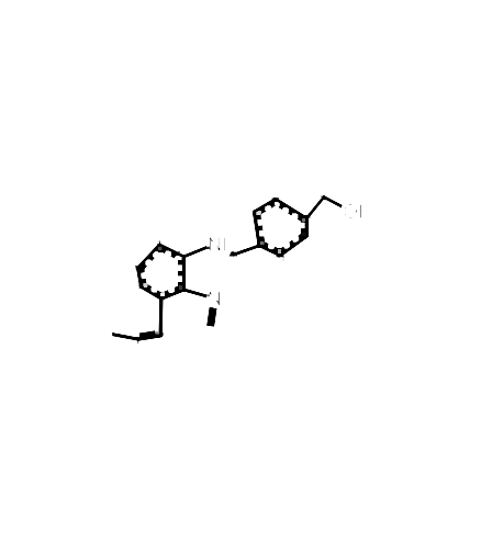 C=Nc1c(/C=C\C)cccc1NCc1ccc(CO)cc1